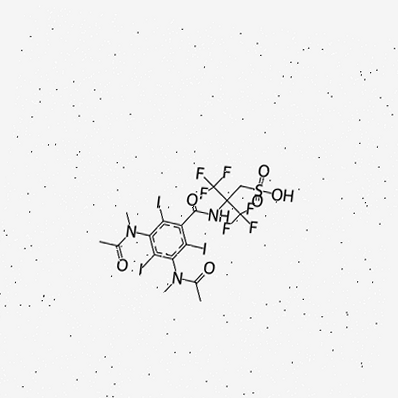 CC(=O)N(C)c1c(I)c(C(=O)NC(CS(=O)(=O)O)(C(F)(F)F)C(F)(F)F)c(I)c(N(C)C(C)=O)c1I